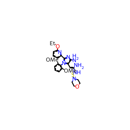 CCOc1cccc(-c2nc(N)c(/C=C(\N)NSN3CCOCC3)n2-c2c(OC)cccc2OC)n1